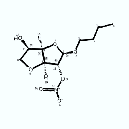 CCCCO[C@@H]1O[C@H]2[C@H](OC[C@H]2O)[C@H]1O[N+](=O)[O-]